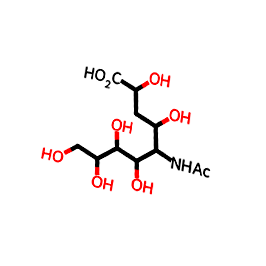 CC(=O)NC(C(O)CC(O)C(=O)O)C(O)C(O)C(O)CO